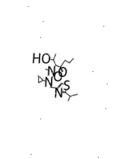 CCCC(=O)C(C(C)O)N(C)C(=O)N(Cc1csc(C(C)C)n1)C1CC1